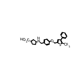 O=C(O)[C@H]1CC[C@@H](NCc2ccc(OCc3cc(-c4ccccc4)c(C(F)(F)F)s3)cc2)C1